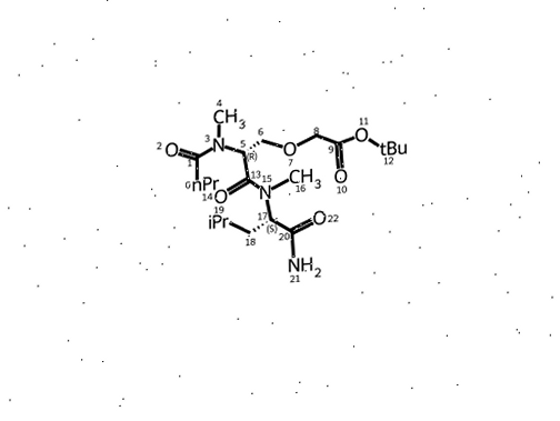 CCCC(=O)N(C)[C@H](COCC(=O)OC(C)(C)C)C(=O)N(C)[C@@H](CC(C)C)C(N)=O